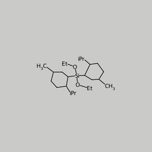 CCO[Si](OCC)(C1CC(C)CCC1C(C)C)C1CC(C)CCC1C(C)C